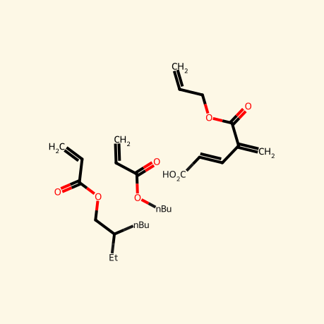 C=CC(=O)OCC(CC)CCCC.C=CC(=O)OCCCC.C=CCOC(=O)C(=C)C=CC(=O)O